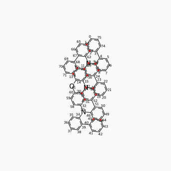 c1ccc(-c2ccccc2N(c2ccc3c(c2)N(c2ccccc2-c2ccccc2)c2cc(N(c4ccccc4-c4ccccc4)c4ccccc4-c4ccccc4)ccc2O3)c2ccccc2-c2ccccc2)cc1